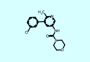 Cc1ncc(NC(=O)N2CCOCC2)cc1-c1cccc(Cl)c1